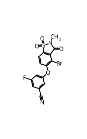 CN1C(=O)c2c(ccc(Oc3cc(F)cc(C#N)c3)c2Br)S1(=O)=O